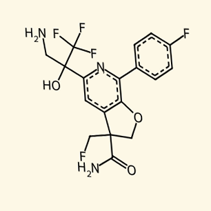 NCC(O)(c1cc2c(c(-c3ccc(F)cc3)n1)OCC2(CF)C(N)=O)C(F)(F)F